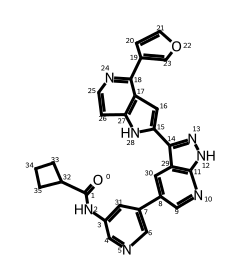 O=C(Nc1cncc(-c2cnc3[nH]nc(-c4cc5c(-c6ccoc6)nccc5[nH]4)c3c2)c1)C1CCC1